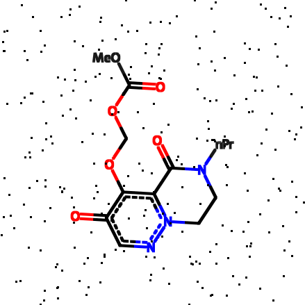 CCCN1CCn2ncc(=O)c(OCOC(=O)OC)c2C1=O